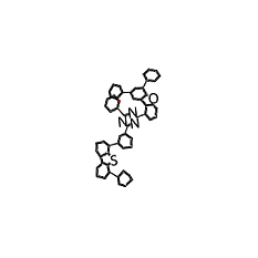 c1ccc(-c2cc(-c3ccccc3)c3oc4cccc(-c5nc(-c6ccccc6)nc(-c6cccc(-c7cccc8c7sc7c(-c9ccccc9)cccc78)c6)n5)c4c3c2)cc1